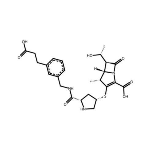 C[C@@H](O)[C@H]1C(=O)N2C(C(=O)O)=C(S[C@@H]3CN[C@H](C(=O)NCc4cccc(CCC(=O)O)c4)C3)[C@H](C)[C@H]12